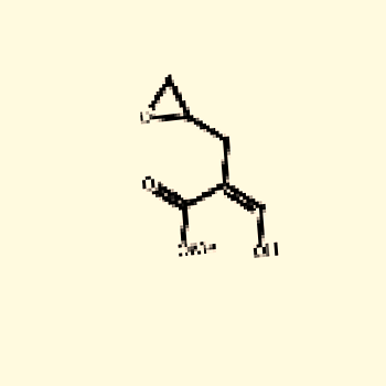 COC(=O)C(=CO)CC1CO1